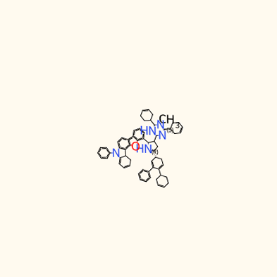 CN1C([C@@H]2CC=CCC2)=NC(C2C[C@H](C3C=C(c4ccccc4)C(C4CC=CCC4)=CC3)NC2c2cccc3c2oc2c4c(ccc23)N(c2ccccc2)C2=CC=CCC24)NC1C1CC=CCC1